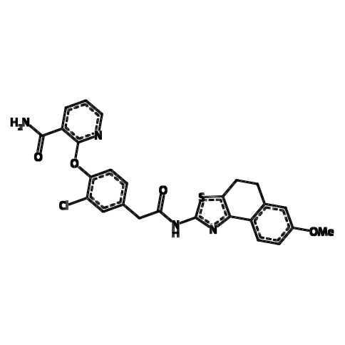 COc1ccc2c(c1)CCc1sc(NC(=O)Cc3ccc(Oc4ncccc4C(N)=O)c(Cl)c3)nc1-2